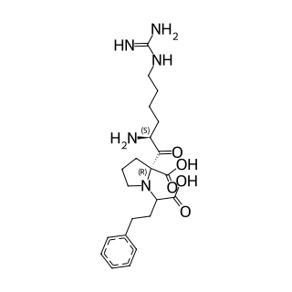 N=C(N)NCCCC[C@H](N)C(=O)[C@@]1(C(=O)O)CCCN1C(CCc1ccccc1)C(=O)O